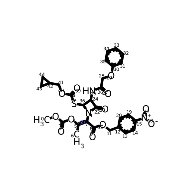 COC(=O)O/C(C)=C(/C(=O)OCc1ccc([N+](=O)[O-])cc1)N1C(=O)C(NC(=O)COc2ccccc2)C1SC(=O)OCC1CC1